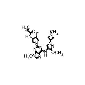 C=CC(=O)N[C@@H]1CN(c2nc(Nc3cn(C4CN(C)C4)nc3OC)c3ncn(C)c3n2)CC1F